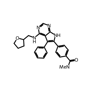 CNC(=O)c1ccc(-c2[nH]c3ncnc(NCC4CCCO4)c3c2-c2ccccc2)cc1